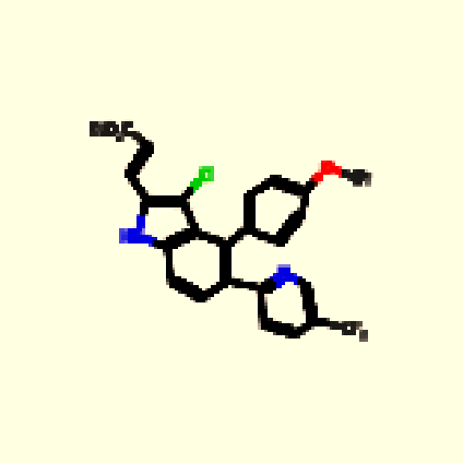 CCOC(=O)C=Cc1[nH]c2ccc(-c3ccc(C(F)(F)F)cn3)c(-c3ccc(OC(C)C)cc3)c2c1Cl